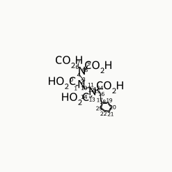 O=C(O)CN(CCN(CC(=O)O)CC(=O)O)CCN(CC(=O)O)C(CCc1ccccc1)C(=O)O